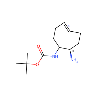 CC(C)(C)OC(=O)NC1CC/C=C/CC[C@H]1N